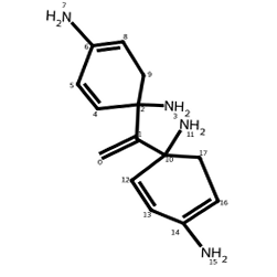 C=C(C1(N)C=CC(N)=CC1)C1(N)C=CC(N)=CC1